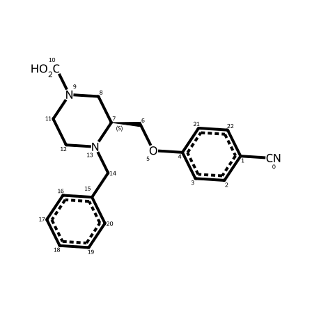 N#Cc1ccc(OC[C@@H]2CN(C(=O)O)CCN2Cc2ccccc2)cc1